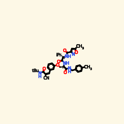 Cc1ccc(CNC(=O)[C@H](COc2cccc(C=C(C#N)C(=O)NC(C)(C)C)c2)NC(=O)[C@@H](NC(=O)c2cc(C)on2)C(C)C)cc1